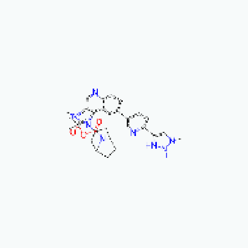 CN1C=C(c2ccc(-c3ccc4ncc5c(c4c3)n(C3CC4CCC(C3)N4C(=O)OC(C)(C)C)c(=O)n5C)cn2)NN1